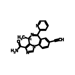 C#Cc1ccc2c(c1)C(c1ccccn1)=N[C@H](C)c1c(C(N)=O)ncn1-2